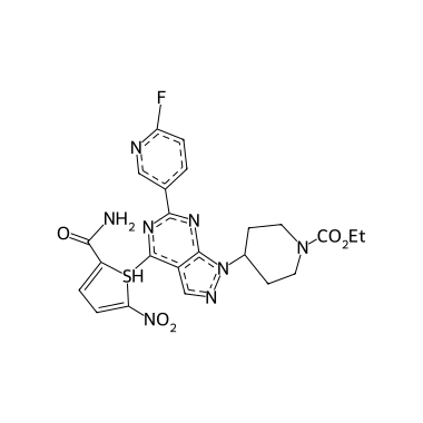 CCOC(=O)N1CCC(n2ncc3c([SH]4C(C(N)=O)=CC=C4[N+](=O)[O-])nc(-c4ccc(F)nc4)nc32)CC1